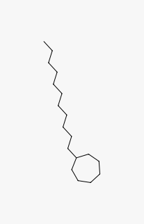 CCCCCCCCCCCC1CCCCCC1